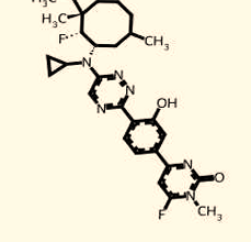 CC[C@]1(C)CCCC(C)C[C@H](N(c2cnc(-c3ccc(-c4cc(F)n(C)c(=O)n4)cc3O)nn2)C2CC2)[C@@H]1F